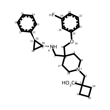 O=C(O)C1(CN2CCC(CN[C@@H]3C[C@H]3c3ccccc3)(COc3cccc(F)c3)CC2)CCC1